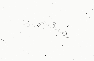 O=C1CCC(N2Cc3c(ccc(CN4CCC(N5CCN(c6ncc(C(=O)Nc7ccc(OC(F)(F)Cl)cc7)cc6-c6ccn[nH]6)CC5)CC4)c3F)C2=O)C(=O)N1